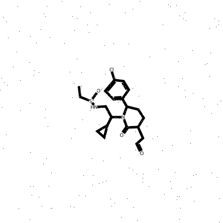 CC[S+]([O-])NCC(C1CC1)N1C(=O)C(CC=O)CCC1c1ccc(Cl)cc1